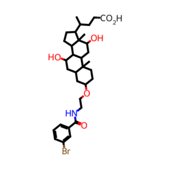 CC(CCC(=O)O)C1CCC2C3C(O)CC4CC(OCCNC(=O)c5cccc(Br)c5)CCC4(C)C3CC(O)C12C